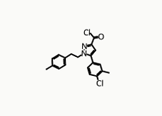 Cc1ccc(CCn2nc(C(=O)Cl)cc2-c2ccc(Cl)c(C)c2)cc1